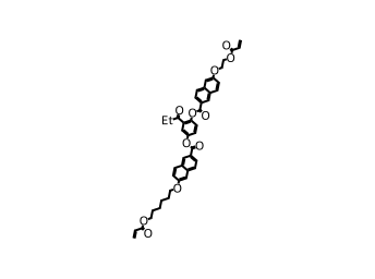 C=CC(=O)OCCCCCCOc1ccc2cc(C(=O)Oc3ccc(OC(=O)c4ccc5cc(OCCOC(=O)C=C)ccc5c4)c(C(=O)CC)c3)ccc2c1